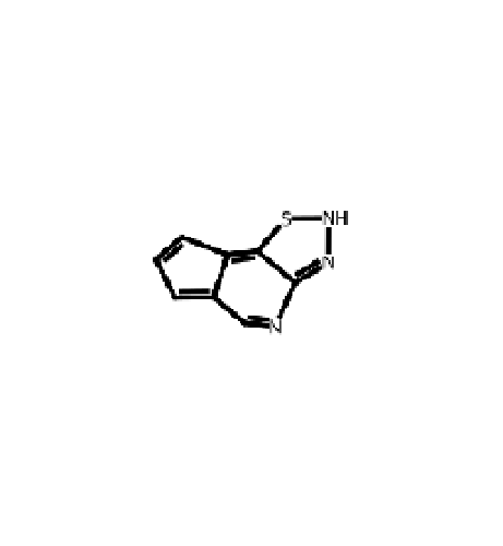 c1cc2cnc3n[nH]sc3c2c1